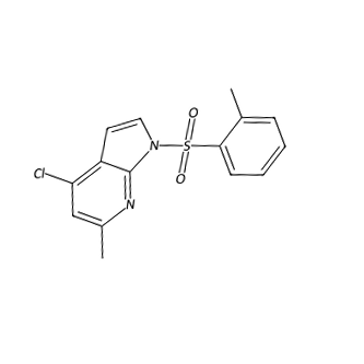 Cc1cc(Cl)c2ccn(S(=O)(=O)c3ccccc3C)c2n1